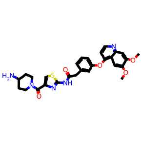 COc1cc2nccc(Oc3cccc(CC(=O)Nc4nc(C(=O)N5CCC(N)CC5)cs4)c3)c2cc1OC